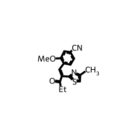 CCC(=O)/C(=C/c1ccc(C#N)cc1OC)c1nc(C)cs1